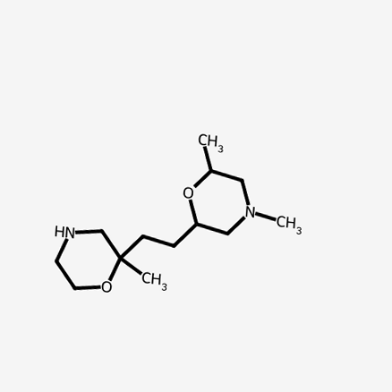 CC1CN(C)CC(CCC2(C)CNCCO2)O1